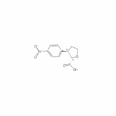 O=C(O)[C@H]1OCC[C@@H]1c1ccc([N+](=O)[O-])cc1